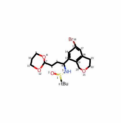 CC(C)(C)[S+]([O-])NC(CCC1OCCCO1)c1cc(Br)cc2c1COCC2